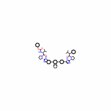 CC(C)C(C(=O)N1CCC[C@H]1c1ncc(-c2ccc(-c3ccc(-c4ccc5nc([C@@H]6CCCN6C(=O)[C@@H](NC(=O)Oc6ccccc6)C(C)C)[nH]c5c4)c4c3C3CCC4C3)cc2)[nH]1)c1ccccc1